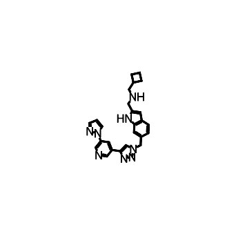 c1cnn(-c2cncc(-c3cn(Cc4ccc5cc(CNCC6CCC6)[nH]c5c4)nn3)c2)c1